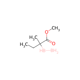 BBC(C)(CC)C(=O)OC